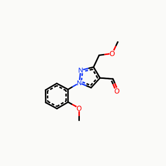 COCc1nn(-c2ccccc2OC)cc1C=O